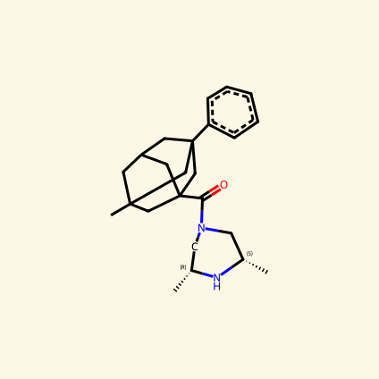 C[C@@H]1CN(C(=O)C23CC4CC(C)(C2)CC(c2ccccc2)(C4)C3)C[C@H](C)N1